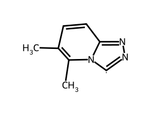 Cc1ccc2nn[c]n2c1C